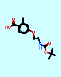 Cc1cc(OCCNC(=O)OC(C)(C)C)ccc1C(=O)O